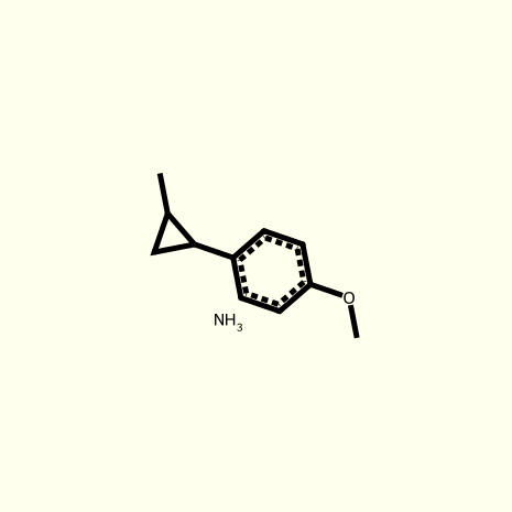 COc1ccc(C2CC2C)cc1.N